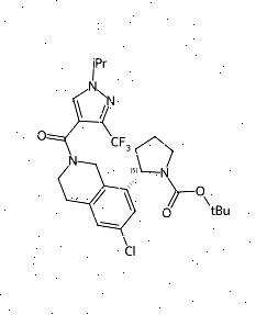 CC(C)n1cc(C(=O)N2CCc3cc(Cl)cc([C@@H]4CCCN4C(=O)OC(C)(C)C)c3C2)c(C(F)(F)F)n1